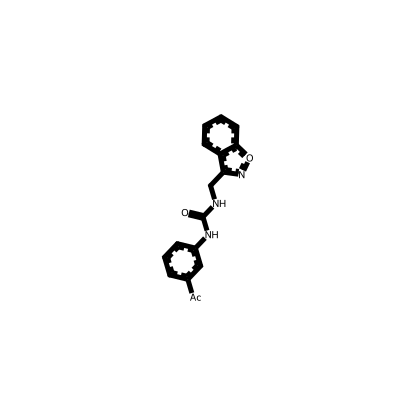 CC(=O)c1cccc(NC(=O)NCc2noc3ccccc23)c1